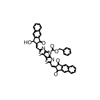 O=C1C(=Cc2nc3c(s2)c2sc(/C=C4\C(=O)c5cc6ccccc6cc5C4O)nc2n3C(=O)OCc2ccccc2)C(=O)c2cc3ccccc3cc21